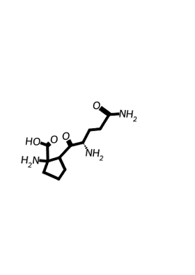 NC(=O)CC[C@H](N)C(=O)C1CCCC1(N)C(=O)O